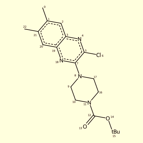 Cc1cc2nc(Cl)c(N3CCN(C(=O)OC(C)(C)C)CC3)nc2cc1C